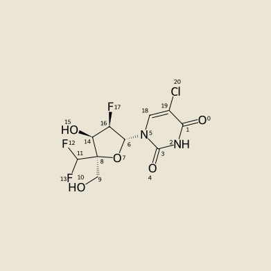 O=c1[nH]c(=O)n([C@@H]2O[C@@](CO)(C(F)F)[C@@H](O)[C@H]2F)cc1Cl